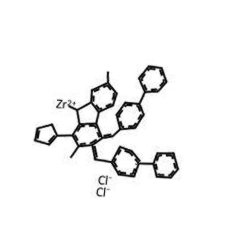 Cc1ccc2c(c1)[CH]([Zr+2])c1c(C3=CC=CC3)c(C)c(=Cc3ccc(-c4ccccc4)cc3)c(=Cc3ccc(-c4ccccc4)cc3)c1-2.[Cl-].[Cl-]